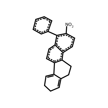 O=[N+]([O-])c1ccc2c3c(ccc2c1-c1ccccc1)C1=CCCC=C1CC3